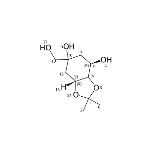 CC1(C)OC2[C@H](O)CC(O)(CO)C[C@H]2O1